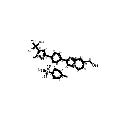 Cc1ccc(S(=O)(=O)O)cc1.Cn1nc(-c2ccc(-c3cn4ccc(CO)cc4n3)cc2)cc1C(F)(F)F